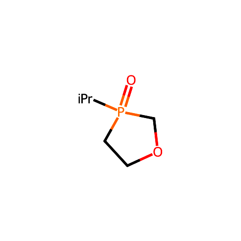 CC(C)P1(=O)CCOC1